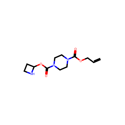 C=CCOC(=O)N1CCN(C(=O)OC2CCN2)CC1